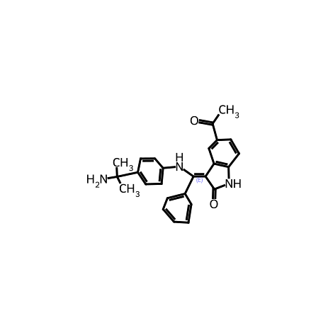 CC(=O)c1ccc2c(c1)/C(=C(\Nc1ccc(C(C)(C)N)cc1)c1ccccc1)C(=O)N2